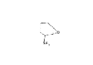 [SiH3]C1CCCC2OC12